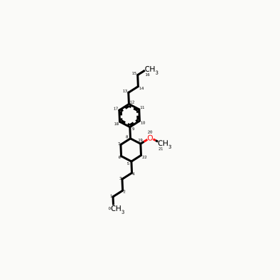 CCCCCC1CCC(c2ccc(CCCC)cc2)C(OC)C1